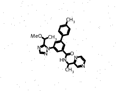 COC(C)c1ncnn1-c1cc(C(=O)NC(C)c2cnccn2)cc(-c2ccc(C)cc2)c1